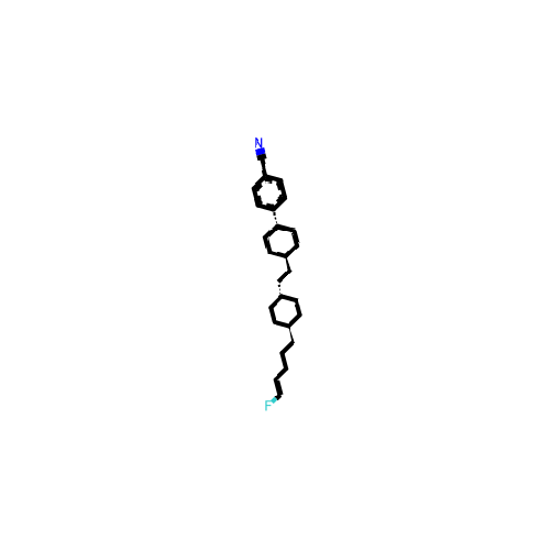 N#Cc1ccc([C@H]2CC[C@H](CC[C@H]3CC[C@H](CCCC=CF)CC3)CC2)cc1